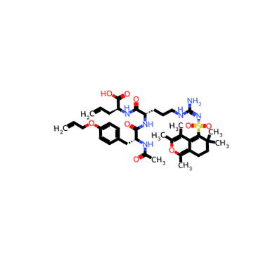 C=CCOc1ccc(C[C@@H](NC(C)=O)C(=O)N[C@@H](CCCNC(N)=NS(=O)(=O)C2=C3C(C)=C(C)OC(C)=C3CCC2(C)C)C(=O)N[C@@H](CC=C)C(=O)O)cc1